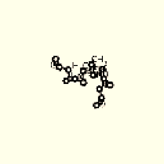 Cc1cc(C)c(B(c2cccc(-n3c4ccccc4c4cc5c6ccccc6n(-c6cccc(-c7ccc8oc9ccccc9c8c7)c6)c5cc43)c2)c2cccc(-n3c4ccccc4c4cc5c6ccccc6n(-c6cccc(-c7ccc8oc9ccccc9c8c7)c6)c5cc43)c2)c(C)c1